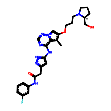 Cc1c(OCCCN2CCC[C@H]2CO)cn2ncnc(Nc3cc(CC(=O)Nc4cccc(F)c4)n[nH]3)c12